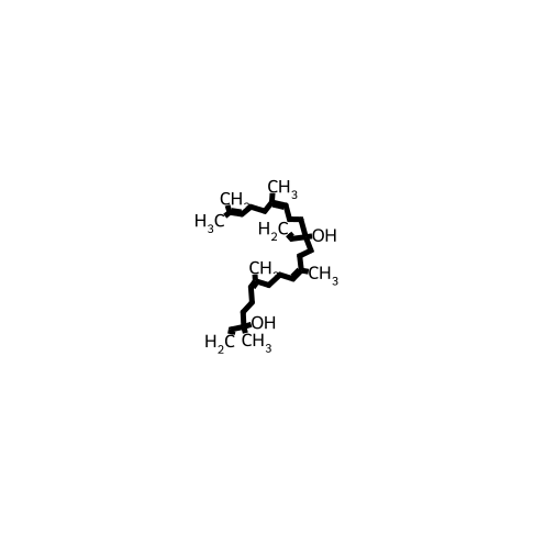 C=CC(C)(O)CCC=C(C)CCC=C(C)CCC(O)(C=C)CCC=C(C)CCC=C(C)C